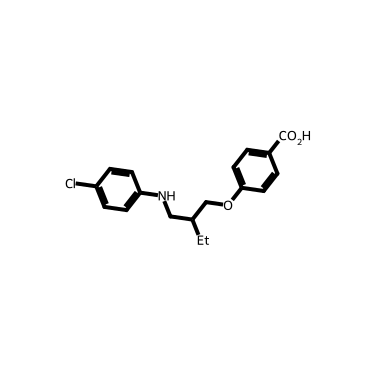 CCC(CNc1ccc(Cl)cc1)COc1ccc(C(=O)O)cc1